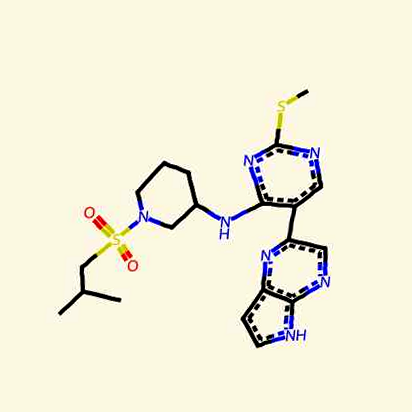 CSc1ncc(-c2cnc3[nH]ccc3n2)c(NC2CCCN(S(=O)(=O)CC(C)C)C2)n1